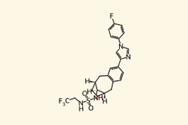 O=S(=O)(NCC(F)(F)F)N[C@H]1[C@@H]2CC[C@H]1Cc1ccc(-c3cn(-c4ccc(F)cc4)cn3)cc1C2